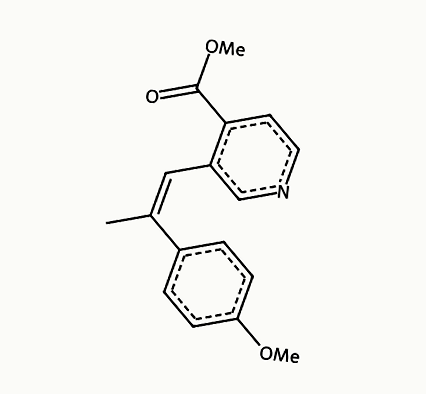 COC(=O)c1ccncc1C=C(C)c1ccc(OC)cc1